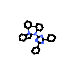 c1ccc(-c2nc(-c3ccccc3)nc(N3c4ccccc4-c4ccccc4-n4c3cc3ccccc34)n2)cc1